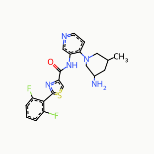 CC1CC(N)CN(c2ccncc2NC(=O)c2csc(-c3c(F)cccc3F)n2)C1